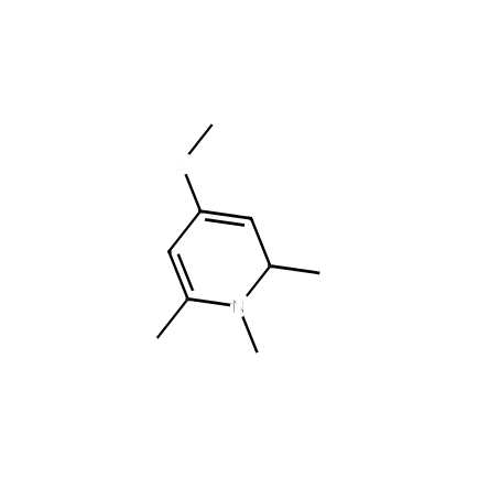 CSC1=CC(C)N(C)C(C)=C1